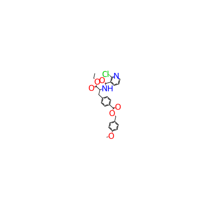 CCOC(=O)C(Cc1ccc(C(=O)OCc2ccc(OC)cc2)cc1)NC(=O)c1cccnc1Cl